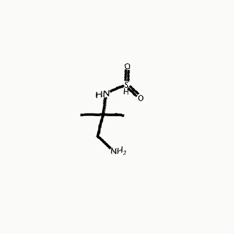 CC(C)(CN)N[SH](=O)=O